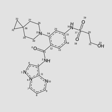 O=C(Nc1cnn2cccnc12)c1ccc(NS(=O)(=O)CCO)cc1N1CCC2(CC1)CC2